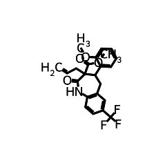 C=CCC1(C(=O)OC)C(=O)Nc2ccc(C(F)(F)F)cc2CC1c1ccccc1OC